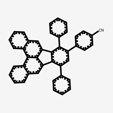 N#Cc1ccc(-c2cc(-c3ccccc3)c3c(c2-c2ccccc2)-c2cc4ccccc4c4c2c-3cc2ccccc24)cc1